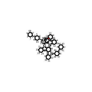 c1ccc(-c2ccc(-c3nc(-c4ccccc4)nc(-n4c5ccccc5c5c6c7ccccc7n(-c7cccc(-c8ccccc8)c7)c6cc(-n6c7ccccc7c7ccccc76)c54)n3)cc2)cc1